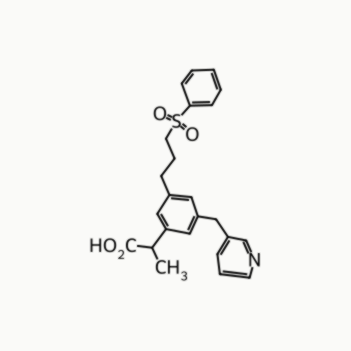 CC(C(=O)O)c1cc(CCCS(=O)(=O)c2ccccc2)cc(Cc2cccnc2)c1